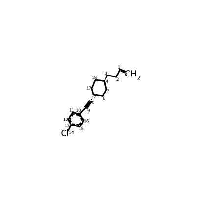 C=CCC[C@H]1CC[C@H](C#Cc2ccc(Cl)cc2)CC1